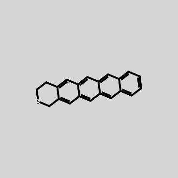 c1ccc2cc3cc4cc5c(cc4cc3cc2c1)CCSC5